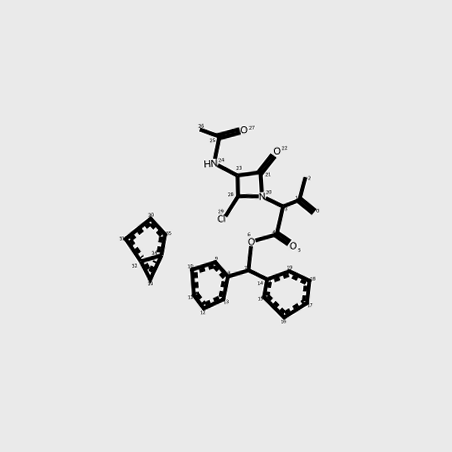 C=C(C)C(C(=O)OC(c1ccccc1)c1ccccc1)N1C(=O)C(NC(C)=O)C1Cl.c1cc2cc-2c1